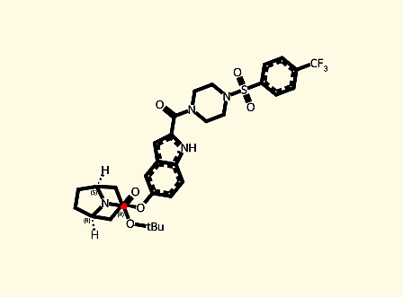 CC(C)(C)OC(=O)N1[C@@H]2CC[C@H]1C[C@@H](Oc1ccc3[nH]c(C(=O)N4CCN(S(=O)(=O)c5ccc(C(F)(F)F)cc5)CC4)cc3c1)C2